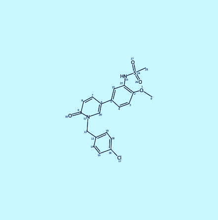 COc1ccc(-c2ccc(=O)n(Cc3ccc(Cl)cc3)c2)cc1NS(C)(=O)=O